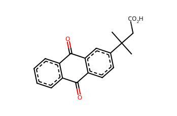 CC(C)(CC(=O)O)c1ccc2c(c1)C(=O)c1ccccc1C2=O